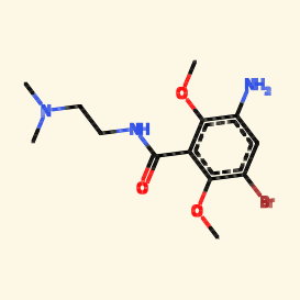 COc1c(N)cc(Br)c(OC)c1C(=O)NCCN(C)C